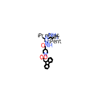 CCCCCN(C[C@@H](CC(C)C)N(CCCCC)C[C@@H](N)CC(C)C)NC(=O)C1CCN(OC(=O)CC2c3ccccc3-c3ccccc32)CC1